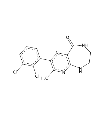 Cc1nc2c(nc1-c1cccc(Cl)c1Cl)C(=O)NCCN2